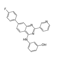 Oc1cccc(Nc2nc(-c3cccnc3)nc3cc(-c4ccc(F)cc4)ccc23)c1